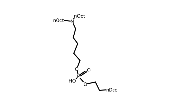 CCCCCCCCCCCCOP(=O)(O)OCCCCCN(CCCCCCCC)CCCCCCCC